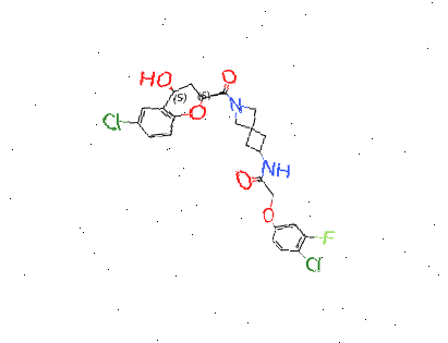 O=C(COc1ccc(Cl)c(F)c1)NC1CC2(C1)CN(C(=O)[C@@H]1C[C@H](O)c3cc(Cl)ccc3O1)C2